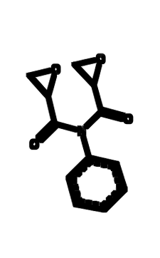 O=C(C1CO1)N(C(=O)C1CO1)c1ccccc1